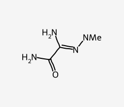 CN/N=C(\N)C(N)=O